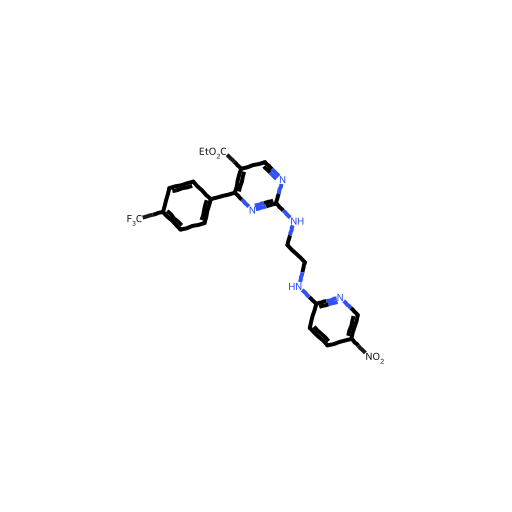 CCOC(=O)c1cnc(NCCNc2ccc([N+](=O)[O-])cn2)nc1-c1ccc(C(F)(F)F)cc1